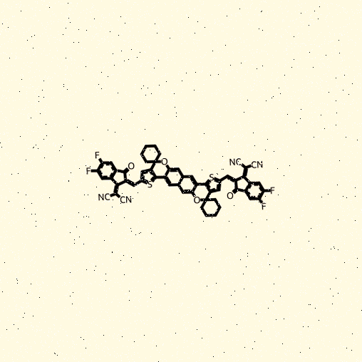 N#CC(C#N)=C1/C(=C/c2cc3c(s2)C2=CC4C=C5OC6(CCCCC6)c6cc(/C=C7\C(=O)c8cc(F)c(F)cc8C7=C(C#N)C#N)sc6C5=CC4C=C2OC32CCCCC2)C(=O)c2cc(F)c(F)cc21